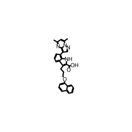 Cc1cc(C)n2ncc(-c3cccc4c(CCCOc5cccc6ccccc56)c(C(=O)O)[nH]c34)c2n1